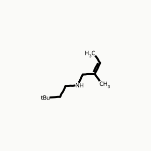 C/C=C(/C)CNCCC(C)(C)C